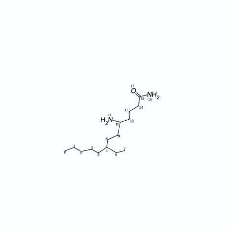 CCCCCC(CC)CCC(N)CCCC(N)=O